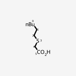 [CH2]CCCCCSCC(=O)O